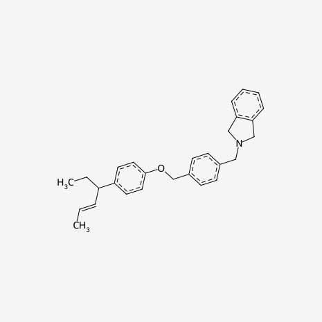 CC=CC(CC)c1ccc(OCc2ccc(CN3Cc4ccccc4C3)cc2)cc1